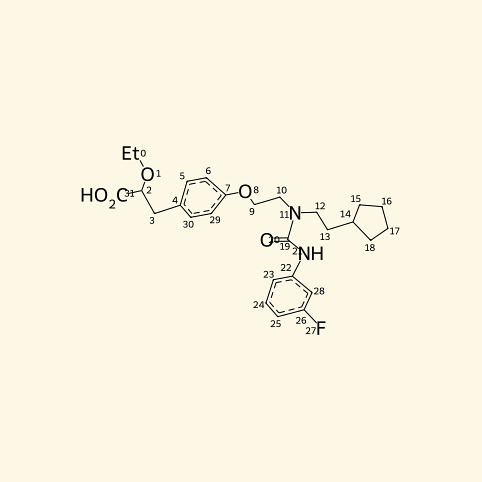 CCOC(Cc1ccc(OCCN(CCC2CCCC2)C(=O)Nc2cccc(F)c2)cc1)C(=O)O